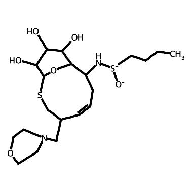 CCCC[S+]([O-])NC1C/C=C\C(CN2CCOCC2)CSC2OC1C(O)C(O)C2O